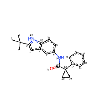 CC(C)(C)c1cc2cc(NC(=O)C3(c4ccccc4)CC3)ccc2[nH]1